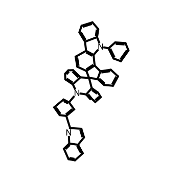 c1ccc(-n2c3ccccc3c3ccc4c(c32)-c2ccccc2C42c3ccccc3N(c3cccc(-c4ccc5ccccc5n4)c3)c3ccccc32)cc1